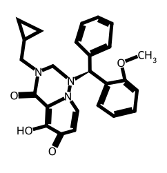 COc1ccccc1[C@H](c1ccccc1)N1CN(CC2CC2)C(=O)c2c(O)c(=O)ccn21